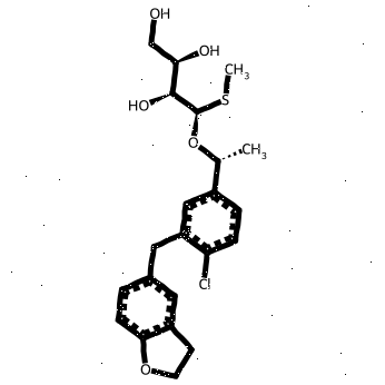 CS[C@@H](O[C@H](C)c1ccc(Cl)c(Cc2ccc3c(c2)CCO3)c1)[C@@H](O)[C@H](O)CO